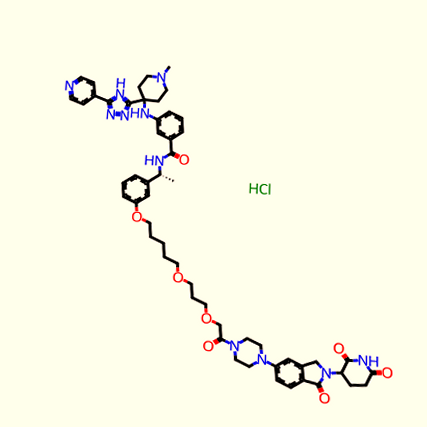 C[C@@H](NC(=O)c1cccc(NC2(c3nnc(-c4ccncc4)[nH]3)CCN(C)CC2)c1)c1cccc(OCCCCCOCCCOCC(=O)N2CCN(c3ccc4c(c3)CN(C3CCC(=O)NC3=O)C4=O)CC2)c1.Cl